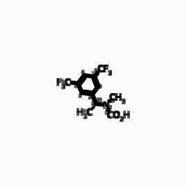 C[C@H](c1cc(C(F)(F)F)cc(C(F)(F)F)c1)N(C)C(=O)O